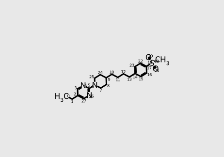 CCc1cnc(N2CCC(CCCCc3ccc(S(C)(=O)=O)cc3)CC2)nc1